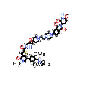 COc1cc(-c2cn(C)c(=O)c3cc(C(=O)NCC4CC5(CCN(CCN6CCN(c7ccc8c(c7)C(=O)N(C7CCC(=O)NC7=O)C8=O)CC6)CC5)O4)sc23)cc(OC)c1CN(C)C